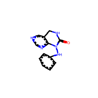 O=C1NCc2cncnc2N1Nc1ccccc1